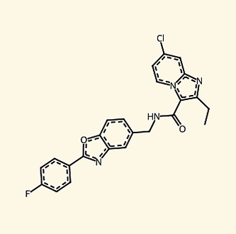 CCc1nc2cc(Cl)ccn2c1C(=O)NCc1ccc2oc(-c3ccc(F)cc3)nc2c1